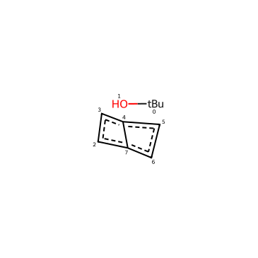 CC(C)(C)O.c1cc2ccc1-2